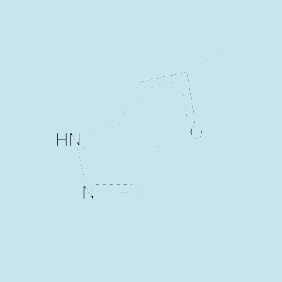 Cc1cc2[nH]nc(C)c2o1